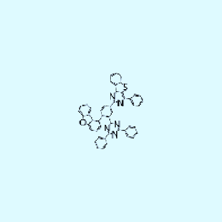 c1ccc(-c2nc(-c3ccccc3)nc(-c3cc(-c4nc(-c5ccccc5)c5sc6ccccc6c5n4)ccc3-c3cccc4oc5ccccc5c34)n2)cc1